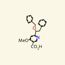 COc1cc(C(Cc2ccccc2)OCc2ccccc2)ncc1C(=O)O